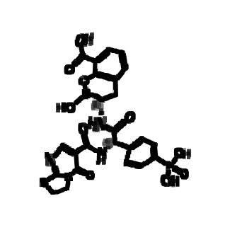 O=C(O)c1cccc2c1OB(O)[C@@H](NC(=O)[C@@H](NC(=O)c1cnc3n(c1=O)CCS3)c1ccc(P(=O)(O)O)cc1)C2